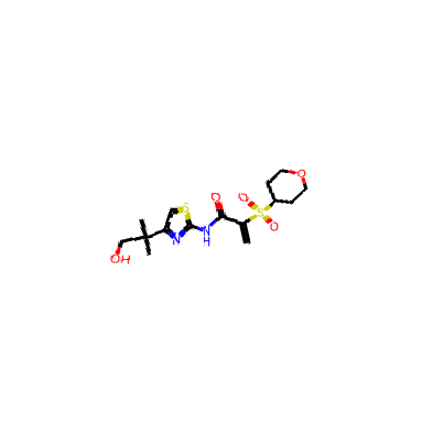 C=C(C(=O)Nc1nc(C(C)(C)CO)cs1)S(=O)(=O)C1CCOCC1